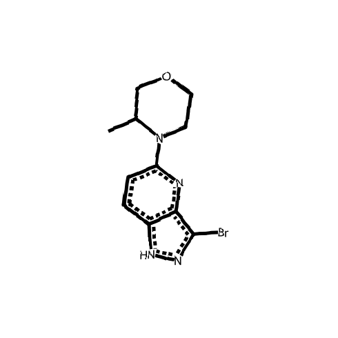 CC1COCCN1c1ccc2[nH]nc(Br)c2n1